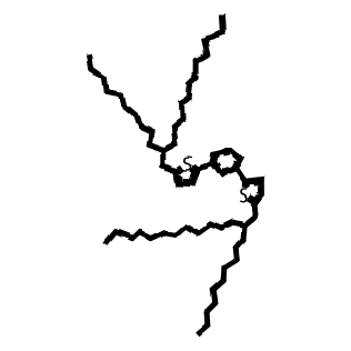 CCCCCCCCCCCCC(CCCCCCCCCC)Cc1ccc(-c2cccc(-c3ccc(CC(CCCCCCCCCC)CCCCCCCCCCCC)s3)c2)s1